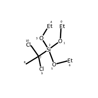 CCO[Si](OCC)(OCC)C(C)(Cl)Cl